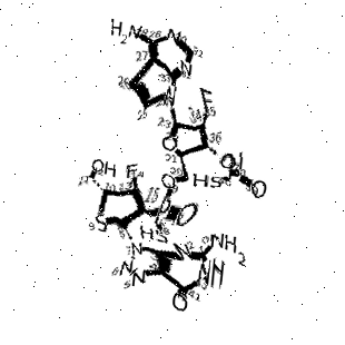 Nc1nc2c(nnn2[C@@H]2S[C@H](CO)[C@@H](F)[C@H]2P(=O)(S)OC[C@H]2O[C@@H](n3ccc4c(N)ncnc43)[C@@H](F)[C@@H]2O[PH](=O)S)c(=O)[nH]1